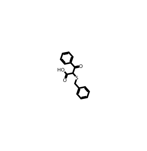 O=C(O)C(SCc1ccccc1)C(=O)c1ccccc1